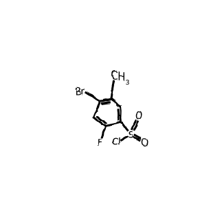 Cc1cc(S(=O)(=O)Cl)c(F)cc1Br